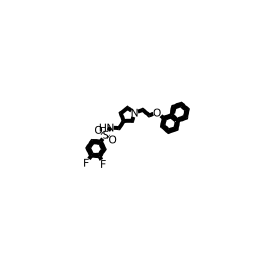 O=S(=O)(NCC1CCN(CCOc2cccc3ccccc23)C1)c1ccc(F)c(F)c1